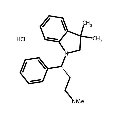 CNCC[C@H](c1ccccc1)N1CC(C)(C)c2ccccc21.Cl